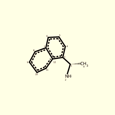 C[C@H]([NH])c1cccc2ccccc12